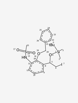 CC(C)(C)[Si](C)(C)OC(CI)c1cccc(NS(C)(=O)=O)c1OCc1ccccc1